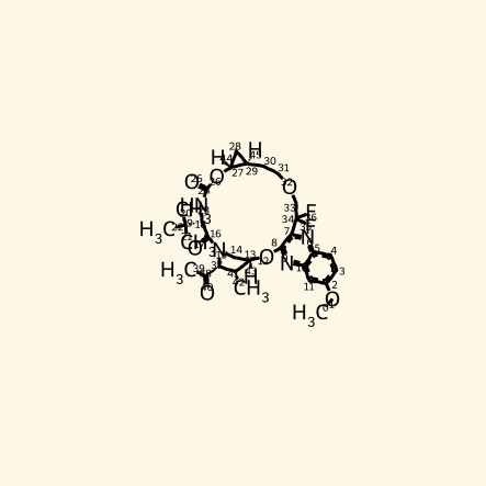 COc1ccc2nc3c(nc2c1)O[C@H]1CN(C(=O)[C@H](C(C)(C)C)NC(=O)O[C@@H]2C[C@H]2CCOCC3(F)F)[C@H](C(C)=O)[C@@H]1C